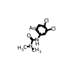 CN(C)C(=O)Nc1ccc(Cl)c(Cl)c1.[Au]